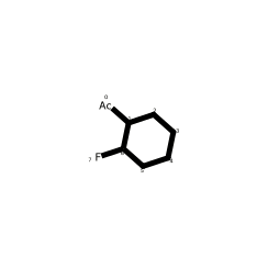 CC(=O)C1CCCCC1F